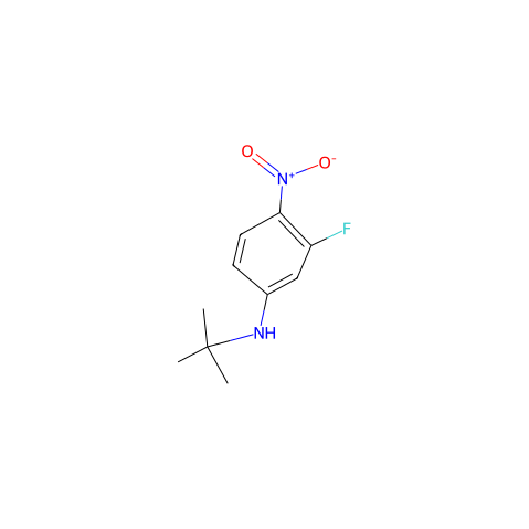 CC(C)(C)Nc1ccc([N+](=O)[O-])c(F)c1